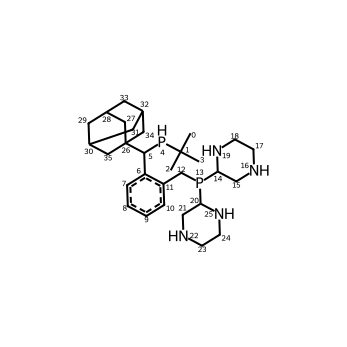 CC(C)(C)PC(c1ccccc1CP(C1CNCCN1)C1CNCCN1)C12CC3CC(CC(C3)C1)C2